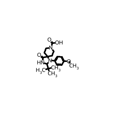 COc1ccc(N2C(C(C)(C)C)NC(=O)C23CCN(C(=O)O)CC3)cc1